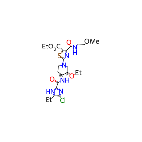 CCOC(=O)c1sc(N2CC[C@@H](NC(=O)c3nc(Cl)c(CC)[nH]3)[C@@H](OCC)C2)nc1C(=O)NCCOC